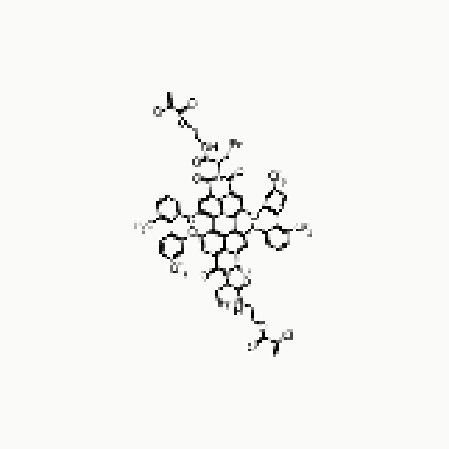 C=C(Cl)C(=O)OCCNC(=O)C(CC(C)C)N1C(=O)c2cc(Oc3cccc(C(F)(F)F)c3)c3c4c(Oc5cccc(C(F)(F)F)c5)cc5c6c(cc(Oc7cccc(C(F)(F)F)c7)c(c7c(Oc8cccc(C(F)(F)F)c8)cc(c2c37)C1=O)c64)C(=O)N(C(CC(C)C)C(=O)NCCOC(=O)C(=C)Cl)C5=O